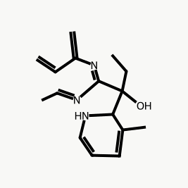 C=CC(=C)/N=C(\N=C\C)C(O)(CC)C1NC=CC=C1C